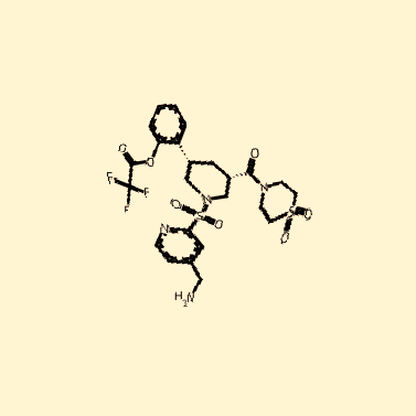 NCc1ccnc(S(=O)(=O)N2C[C@@H](C(=O)N3CCS(=O)(=O)CC3)C[C@@H](c3ccccc3OC(=O)C(F)(F)F)C2)c1